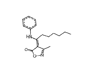 CCCCCCC(Nc1ccccc1)=C1C(=O)ON=C1C